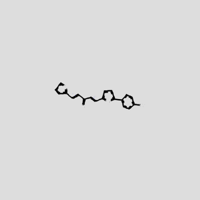 O=C(/C=C/c1ccco1)/C=C/c1ccc(-c2ccc(Br)cc2)o1